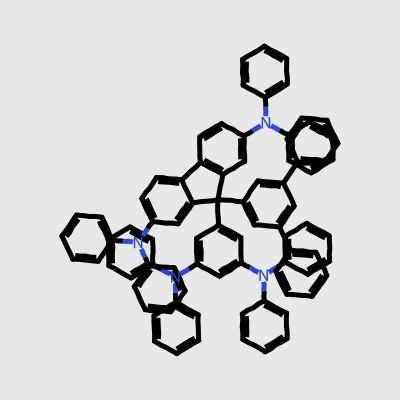 c1ccc(-c2cc(-c3ccccc3)cc(C3(c4cc(N(c5ccccc5)c5ccccc5)cc(N(c5ccccc5)c5ccccc5)c4)c4cc(N(c5ccccc5)c5ccccc5)ccc4-c4ccc(N(c5ccccc5)c5ccccc5)cc43)c2)cc1